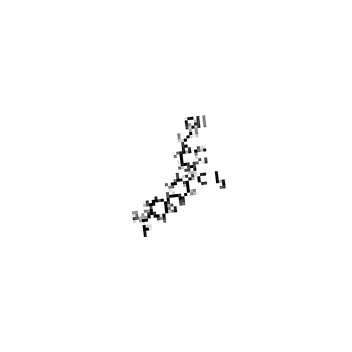 CC(c1ccc(-c2ccc(C(F)F)cc2)cc1)N1CCN(CCO)CC1